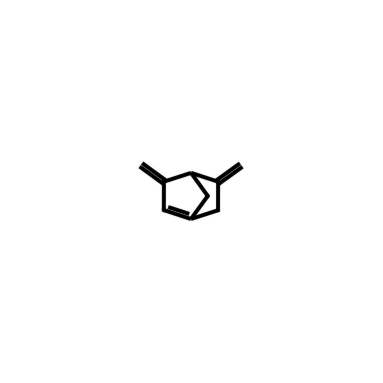 C=C1C=C2CC(=C)C1C2